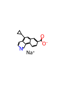 O=C([O-])c1ccc2c(c1)cc(C1CC1)c1ccncc12.[Na+]